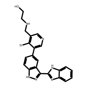 CCc1c(CNCCO)cncc1-c1ccc2[nH]nc(-c3nc4ccccc4[nH]3)c2c1